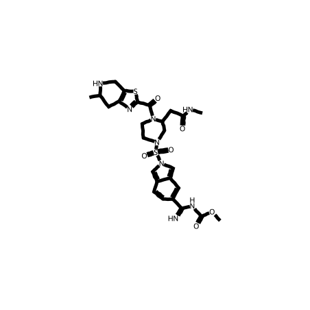 CNC(=O)CC1CN(S(=O)(=O)n2cc3ccc(C(=N)NC(=O)OC)cc3c2)CCN1C(=O)c1nc2c(s1)CNC(C)C2